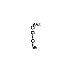 CCCCC#Cc1ccc(C#Cc2ccc([C@H]3CC[C@H](CCCCCCCC)CC3)cc2)cc1